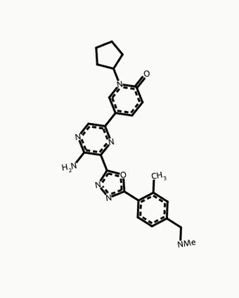 CNCc1ccc(-c2nnc(-c3nc(-c4ccc(=O)n(C5CCCC5)c4)cnc3N)o2)c(C)c1